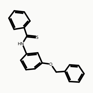 S=C(Nc1cccc(OCc2ccccc2)c1)c1ccccc1